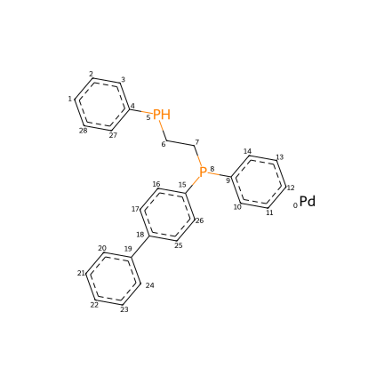 [Pd].c1ccc(PCCP(c2ccccc2)c2ccc(-c3ccccc3)cc2)cc1